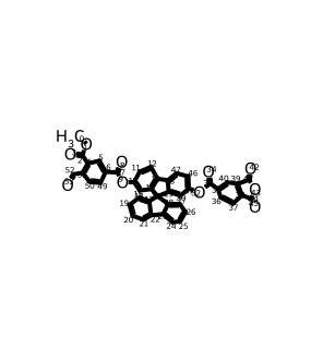 COC(=O)c1cc(C(=O)Oc2ccc3c(c2)C2(c4ccccc4-c4ccccc42)c2cc(OC(=O)c4ccc5c(c4)C(=O)OC5=O)ccc2-3)ccc1C=O